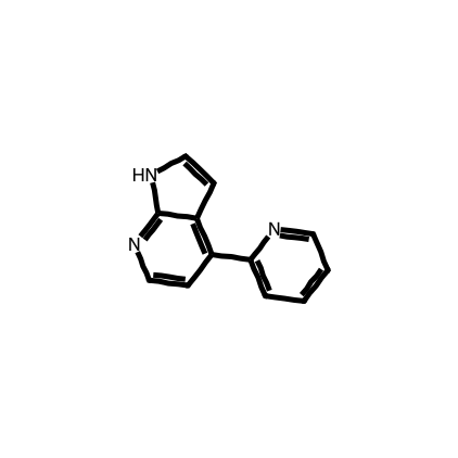 c1ccc(-c2ccnc3[nH]ccc23)nc1